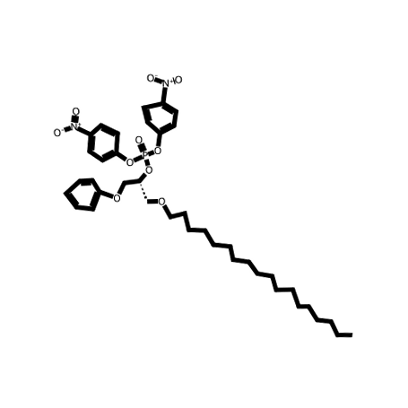 CCCCCCCCCCCCCCCCCCOC[C@H](COc1ccccc1)OP(=O)(Oc1ccc([N+](=O)[O-])cc1)Oc1ccc([N+](=O)[O-])cc1